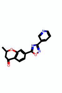 CC1CC(=O)c2ccc(-c3nc(-c4cccnc4)no3)cc2O1